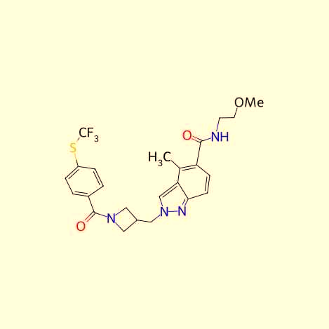 COCCNC(=O)c1ccc2nn(CC3CN(C(=O)c4ccc(SC(F)(F)F)cc4)C3)cc2c1C